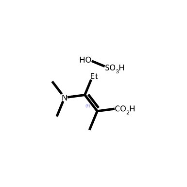 CC/C(=C(/C)C(=O)O)N(C)C.O=S(=O)(O)O